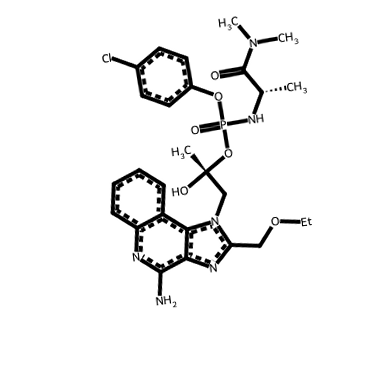 CCOCc1nc2c(N)nc3ccccc3c2n1C[C@](C)(O)OP(=O)(N[C@@H](C)C(=O)N(C)C)Oc1ccc(Cl)cc1